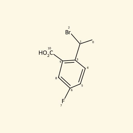 CC(Br)c1ccc(F)cc1C(=O)O